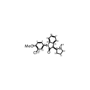 COc1ccc(N2C(=O)/C(=C3\CCCN3C)c3ccccc32)cc1Cl